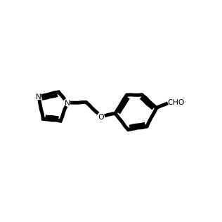 O=[C]c1ccc(OCn2ccnc2)cc1